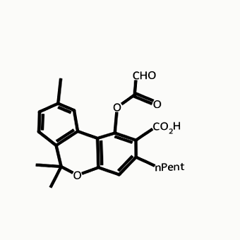 CCCCCc1cc2c(c(OC(=O)C=O)c1C(=O)O)-c1cc(C)ccc1C(C)(C)O2